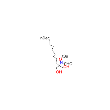 CCCCCCCCCCCCCCCCCCC(CO)(CO)N(C=O)OC(C)(C)C